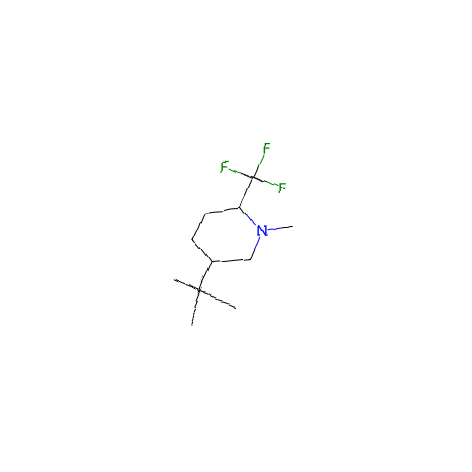 CN1CC(C(C)(C)C)CCC1C(F)(F)F